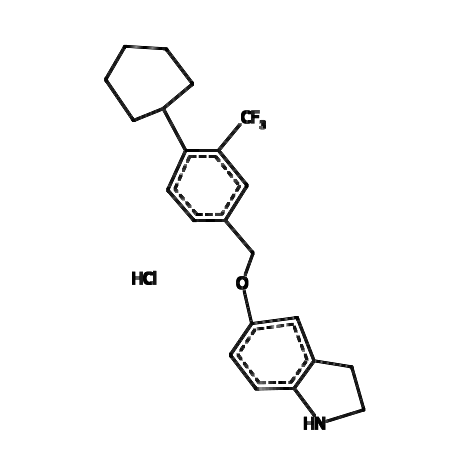 Cl.FC(F)(F)c1cc(COc2ccc3c(c2)CCN3)ccc1C1CCCCC1